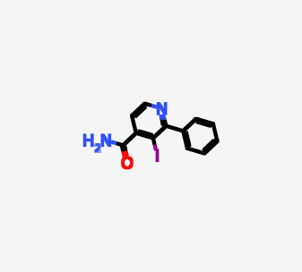 NC(=O)c1ccnc(-c2ccccc2)c1I